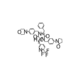 CN(Cc1ccc(N2CCCC2=O)cc1)C(=O)[C@H](Cc1ccccc1)N(Cc1ccc(N2CCOCC2)cc1)C(=O)C=Cc1ccc(C(F)(F)F)nc1